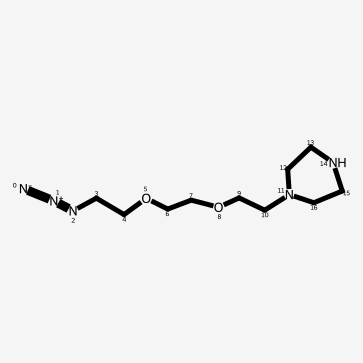 [N-]=[N+]=NCCOCCOCCN1CCNCC1